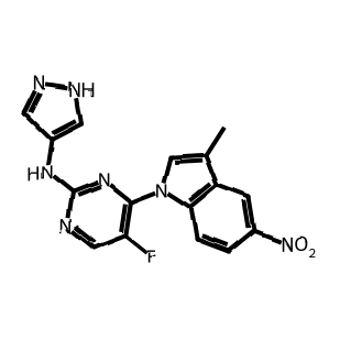 Cc1cn(-c2nc(Nc3cn[nH]c3)ncc2F)c2ccc([N+](=O)[O-])cc12